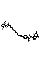 Cc1cc(C)n2ccc(C(=O)Nc3ccc(C#CCCCCCCCCC(=O)ON4C(=O)CCC4=O)cc3)c2n1